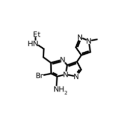 CCNCCc1nc2c(-c3cnn(C)c3)cnn2c(N)c1Br